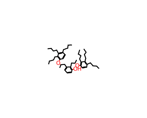 CCCCc1ccc(OC(C)Cc2cccc(O)c2CC(C)Oc2ccc(CCCC)c(CCCC)c2CCCC)c(CCCC)c1CCCC